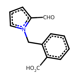 O=Cc1cccn1Cc1ccccc1C(=O)O